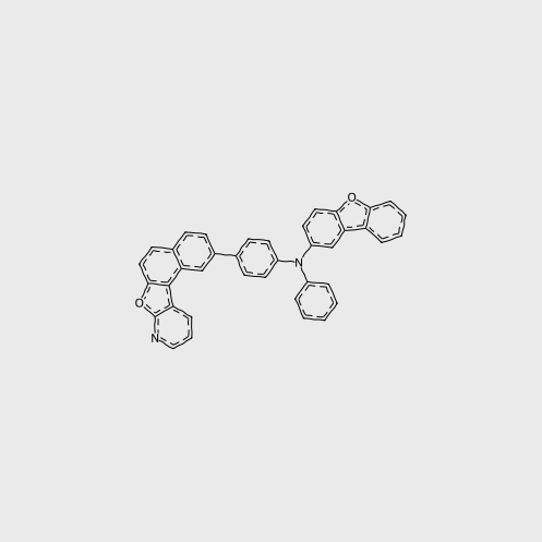 c1ccc(N(c2ccc(-c3ccc4ccc5oc6ncccc6c5c4c3)cc2)c2ccc3oc4ccccc4c3c2)cc1